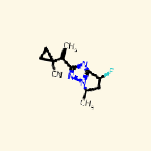 C=C(c1nc2n(n1)C(C)CC2F)C1(C#N)CC1